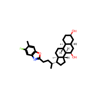 Cc1cc2oc(CCC(C)[C@H]3CC[C@H]4[C@@H]5[C@H](O)C[C@@H]6C[C@H](O)CC[C@]6(C)[C@H]5CC[C@]34C)nc2cc1F